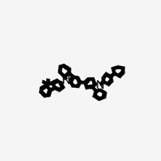 CC1(C)c2ccccc2-c2ccc(N3C4=C(C=C(C5=CCC6C(=C5)C5C=CC=CC5N6C5C=CC(C6C=CCCC6)=CC5)CC4)C4C=CCCC43)cc21